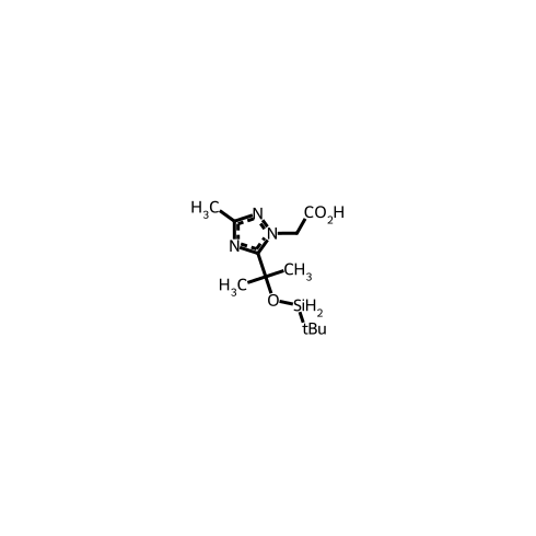 Cc1nc(C(C)(C)O[SiH2]C(C)(C)C)n(CC(=O)O)n1